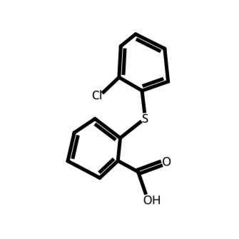 O=C(O)c1ccccc1Sc1ccccc1Cl